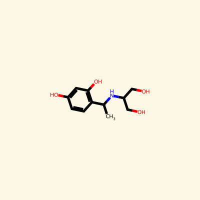 CC(NC(CO)CO)c1ccc(O)cc1O